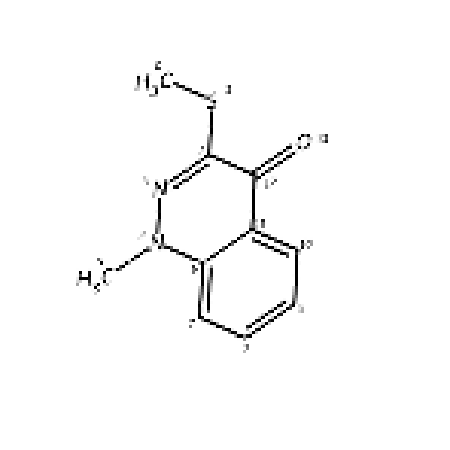 CSc1nn(C)c2ccccc2c1=O